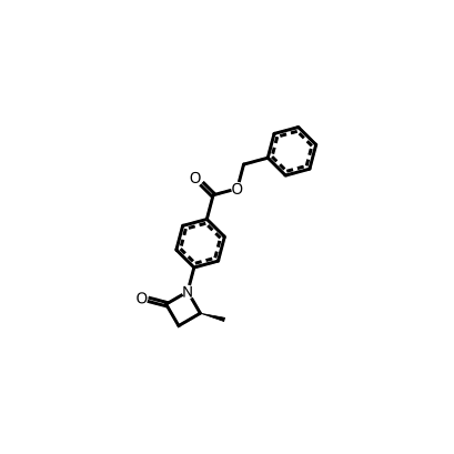 C[C@H]1CC(=O)N1c1ccc(C(=O)OCc2ccccc2)cc1